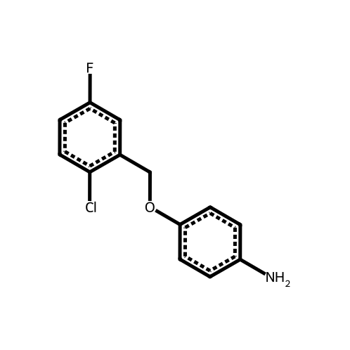 Nc1ccc(OCc2cc(F)ccc2Cl)cc1